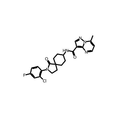 Cc1ccnc2c(C(=O)NC3CCC4(CC3)CCN(c3ccc(F)cc3Cl)C4=O)cnn12